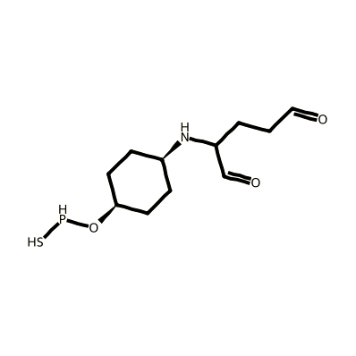 O=CCCC(C=O)N[C@H]1CC[C@@H](OPS)CC1